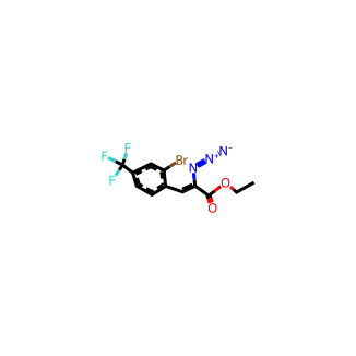 CCOC(=O)/C(=C/c1ccc(C(F)(F)F)cc1Br)N=[N+]=[N-]